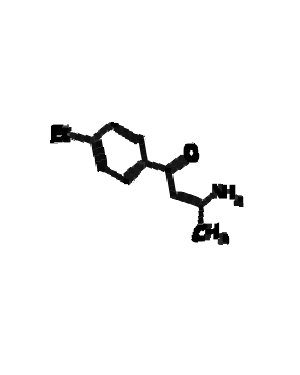 CCc1ccc(C(=O)C=C(C)N)cc1